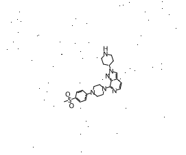 CS(=O)(=O)c1ccc(N2CCN(c3nccc4cn(C5CCNCC5)nc34)CC2)cc1